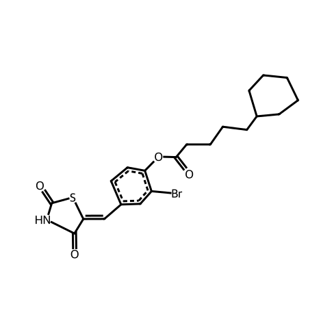 O=C(CCCCC1CCCCC1)Oc1ccc(/C=C2\SC(=O)NC2=O)cc1Br